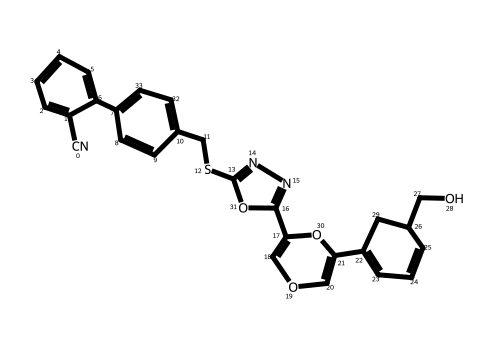 N#Cc1ccccc1-c1ccc(CSc2nnc(C3=COC=C(C4=CC=CC(CO)C4)O3)o2)cc1